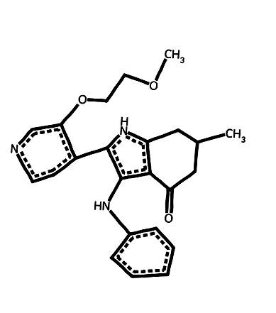 COCCOc1cnccc1-c1[nH]c2c(c1Nc1ccccc1)C(=O)CC(C)C2